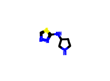 c1nnc(NC2CCNC2)s1